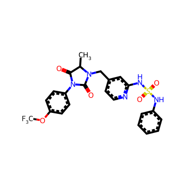 CC1C(=O)N(c2ccc(OC(F)(F)F)cc2)C(=O)N1Cc1ccnc(NS(=O)(=O)Nc2ccccc2)c1